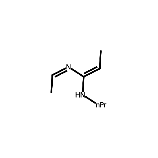 C/C=N\C(=C/C)NCCC